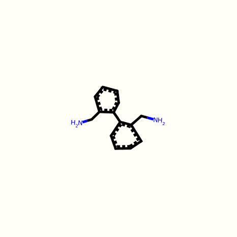 NCc1c[c]ccc1-c1ccccc1CN